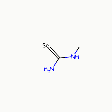 CNC(N)=[Se]